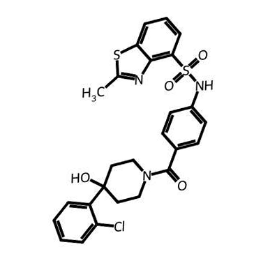 Cc1nc2c(S(=O)(=O)Nc3ccc(C(=O)N4CCC(O)(c5ccccc5Cl)CC4)cc3)cccc2s1